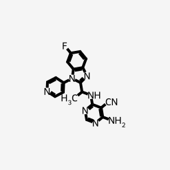 CC(Nc1ncnc(N)c1C#N)c1nc2ccc(F)cc2n1-c1ccncc1